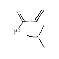 C=CC(=O)O.CN(C)C